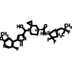 COc1cc(-c2cc(C(O)N3CC[C@H](C(=O)N[C@@H]4CN(CC(C)(C)F)CC4(F)F)CC34CC4)n[nH]2)c(F)cn1